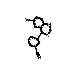 N#Cc1cccc(-c2ncnc3ccc(Br)cc23)c1